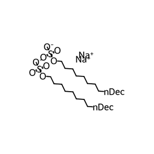 CCCCCCCCCCCCCCCCCCOS(=O)(=O)[O-].CCCCCCCCCCCCCCCCCCOS(=O)(=O)[O-].[Na+].[Na+]